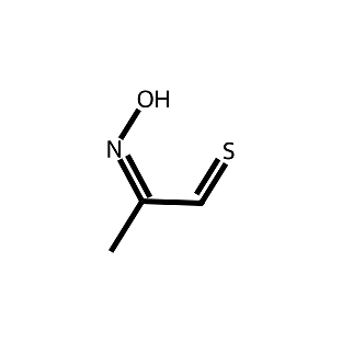 CC(C=S)=NO